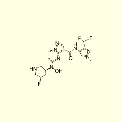 Cn1cc(NC(=O)c2cnn3ccc(N(O)[C@@H]4CNC[C@H](F)C4)nc23)c(C(F)F)n1